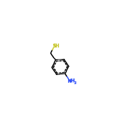 Nc1ccc(CS)cc1